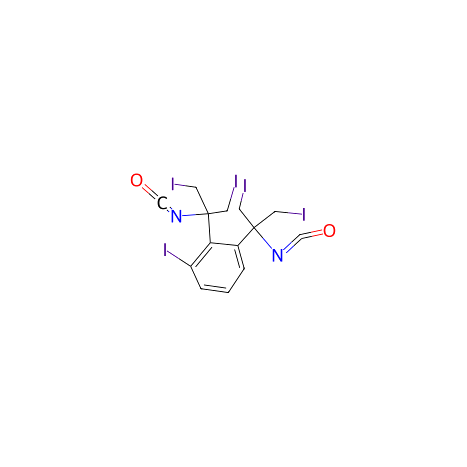 O=C=NC(CI)(CI)c1cccc(I)c1C(CI)(CI)N=C=O